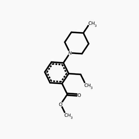 CCc1c(C(=O)OC)cccc1N1CCC(C)CC1